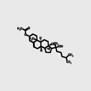 CC(=O)O[C@H]1CC[C@@]2(C)C(=CC[C@H]3[C@@H]4CC[C@H]([C@](C)(O)CCCC(C)C)[C@@]4(C)CC[C@@H]32)C1